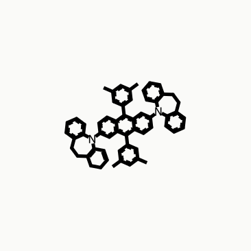 Cc1cc(C)cc(-c2c3ccc(N4c5ccccc5CCc5ccccc54)cc3c(-c3cc(C)cc(C)c3)c3ccc(N4C5=C(CCC=C5)CCc5ccccc54)cc23)c1